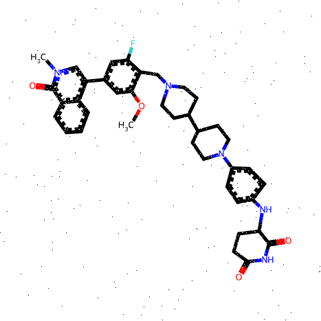 COc1cc(-c2cn(C)c(=O)c3ccccc23)cc(F)c1CN1CCC(C2CCN(c3ccc(NC4CCC(=O)NC4=O)cc3)CC2)CC1